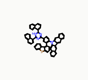 c1ccc2cc3c(cc2c1)c1cc2ccccc2cc1n3-c1ccc(C2=NC(c3cccc4ccccc34)NC(c3cccc4ccccc34)=N2)cc1-c1cccc2sc3ccccc3c12